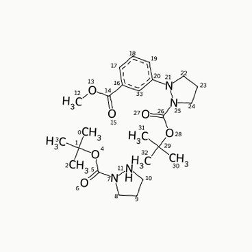 CC(C)(C)OC(=O)N1CCCN1.COC(=O)c1cccc(N2CCCN2C(=O)OC(C)(C)C)c1